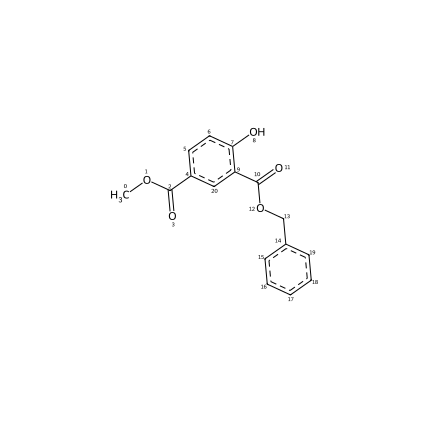 COC(=O)c1ccc(O)c(C(=O)OCc2ccccc2)c1